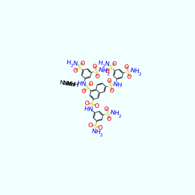 NS(=O)(=O)c1cc(NS(=O)(=O)c2ccc3c(S(=O)(=O)Nc4cc(S(N)(=O)=O)cc(S(N)(=O)=O)c4)cc(S(=O)(=O)Nc4cc(S(N)(=O)=O)cc(S(N)(=O)=O)c4)cc3c2)cc(S(N)(=O)=O)c1.[NaH].[NaH].[NaH]